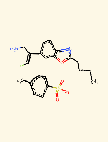 CCCCc1nc2ccc(C(=CF)CN)cc2o1.Cc1ccc(S(=O)(=O)O)cc1